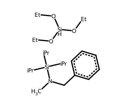 CC(C)[Si](C(C)C)(C(C)C)N(C)Cc1ccccc1.CCO[SiH](OCC)OCC